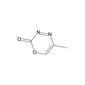 [CH]c1coc(=O)nn1